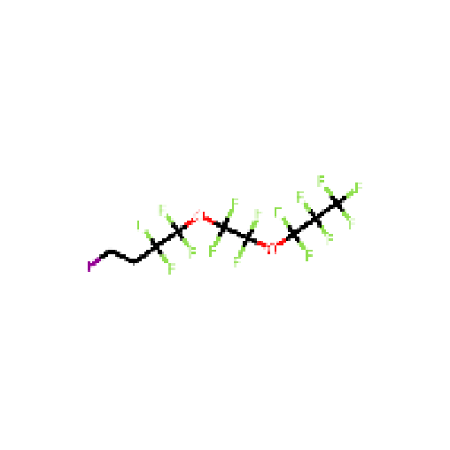 FC(F)(F)C(F)(F)C(F)(F)OC(F)(F)C(F)(F)OC(F)(F)C(F)(F)CCI